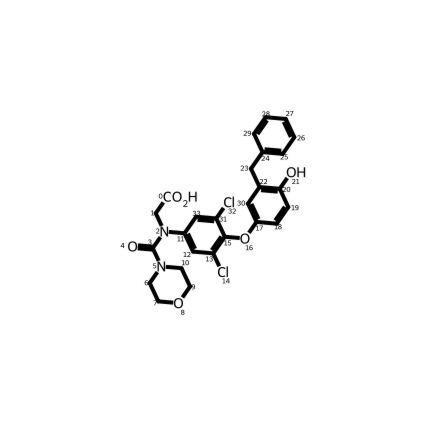 O=C(O)CN(C(=O)N1CCOCC1)c1cc(Cl)c(Oc2ccc(O)c(Cc3ccccc3)c2)c(Cl)c1